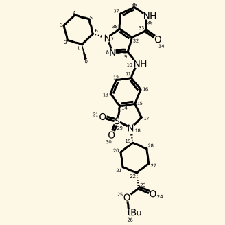 C[C@H]1CCCC[C@@H]1n1nc(Nc2ccc3c(c2)CN([C@H]2CC[C@@H](C(=O)OC(C)(C)C)CC2)S3(=O)=O)c2c(=O)[nH]ccc21